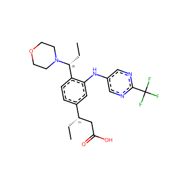 CC[C@@H](CC(=O)O)c1ccc([C@@H](CC)N2CCOCC2)c(Nc2cnc(C(F)(F)F)nc2)c1